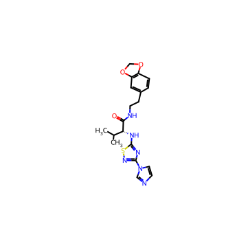 CC(C)[C@@H](Nc1nc(-n2ccnc2)ns1)C(=O)NCCc1ccc2c(c1)OCO2